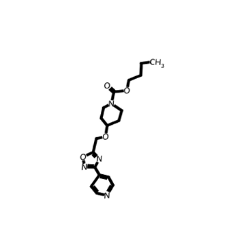 CCCCOC(=O)N1CCC(OCc2nc(-c3ccncc3)no2)CC1